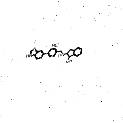 Cl.OC1c2ccccc2CC1NCc1ccc(-c2ccc3[nH]cnc3c2)cc1